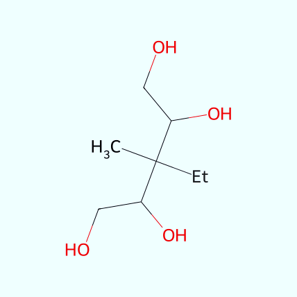 CCC(C)(C(O)CO)C(O)CO